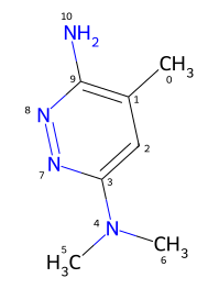 Cc1cc(N(C)C)nnc1N